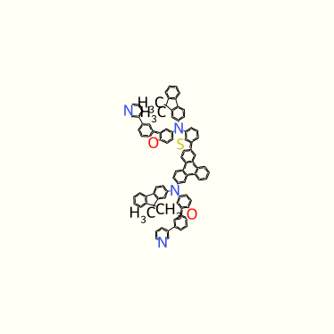 CC1(C)c2ccccc2-c2ccc(N(c3ccc4oc5ccc(-c6cccnc6)cc5c4c3)c3ccc4c(c3)c3ccccc3c3cc5c(cc43)sc3c(N(c4ccc6c(c4)C(C)(C)c4ccccc4-6)c4ccc6oc7ccc(-c8cccnc8)cc7c6c4)cccc35)cc21